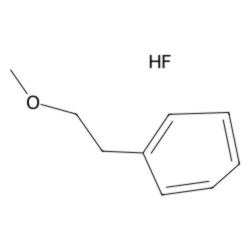 COCCc1ccccc1.F